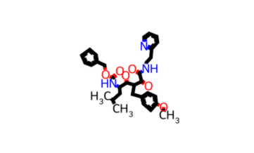 COc1ccc(CC(C(=O)C(=O)NCCc2ccccn2)C(=O)C(CC(C)C)NC(=O)OCc2ccccc2)cc1